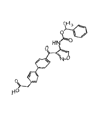 CC(OC(=O)Nc1conc1C(=O)c1ccc(-c2ccc(CC(=O)O)cc2)cc1)c1ccccc1